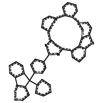 c1ccc(C2(c3ccc(-c4nc5nc(n4)c4cccc6sc7ccc(cc7c64)c4ccccc4c4cccc5c4)cc3)c3ccccc3-c3ccccc32)cc1